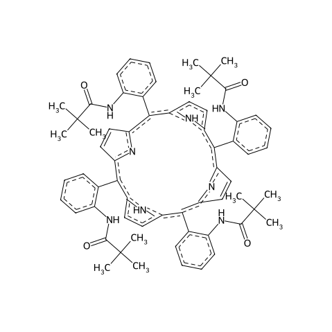 CC(C)(C)C(=O)Nc1ccccc1-c1c2nc(c(-c3ccccc3NC(=O)C(C)(C)C)c3ccc([nH]3)c(-c3ccccc3NC(=O)C(C)(C)C)c3nc(c(-c4ccccc4NC(=O)C(C)(C)C)c4ccc1[nH]4)C=C3)C=C2